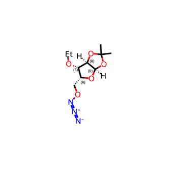 CCO[C@@H]1[C@H]2OC(C)(C)O[C@H]2O[C@@H]1CON=[N+]=[N-]